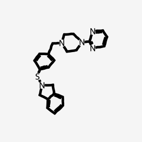 c1cnc(N2CCN(Cc3ccc(SN4Cc5ccccc5C4)cc3)CC2)nc1